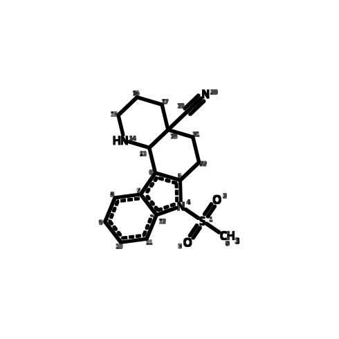 CS(=O)(=O)n1c2c(c3ccccc31)C1NCCCC1(C#N)CC2